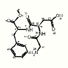 COC(=O)[C@H](Cc1ccccc1)NC(=O)[C@@H](CC(=O)O)NC(=O)CN